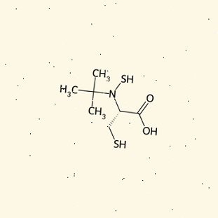 CC(C)(C)N(S)[C@@H](CS)C(=O)O